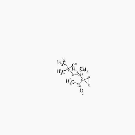 CC(=O)C1(N(C)CC(C)(C)C)CC1